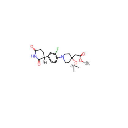 [2H]C1(c2ccc(N3CCC(CC(=O)OC(C)(C)C)(O[Si](C)(C)C)CC3)c(F)c2)CCC(=O)NC1=O